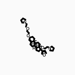 C[C@]12CCC(OCCOCCN3CCCC3)C=C1CC[C@@H]1[C@H]2CC[C@@]2(C)[C@H]1CCC2(OCCN1CCCC1)c1ccoc1